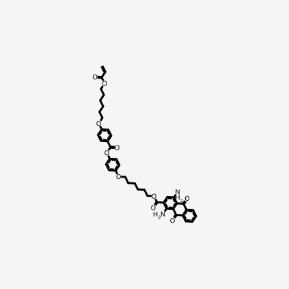 C=CC(=O)OCCCCCCOc1ccc(C(=O)Oc2ccc(OCCCCCCOC(=O)c3cc(N)c4c(c3N)C(=O)c3ccccc3C4=O)cc2)cc1